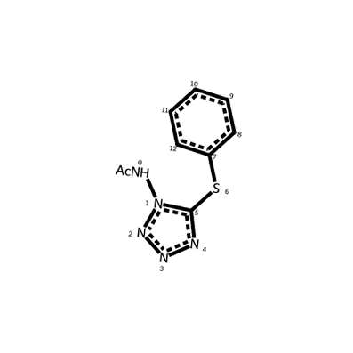 CC(=O)Nn1nnnc1Sc1ccccc1